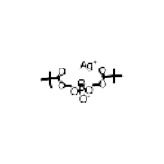 CC(C)(C)C(=O)OCOP(=O)([O-])OCOC(=O)C(C)(C)C.[Ag+]